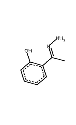 CC(=NN)c1ccccc1O